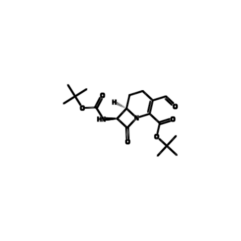 CC(C)(C)OC(=O)N[C@@H]1C(=O)N2C(C(=O)OC(C)(C)C)=C(C=O)CC[C@H]12